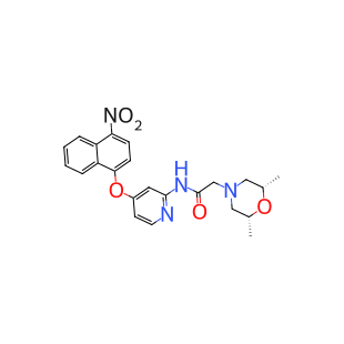 C[C@@H]1CN(CC(=O)Nc2cc(Oc3ccc([N+](=O)[O-])c4ccccc34)ccn2)C[C@H](C)O1